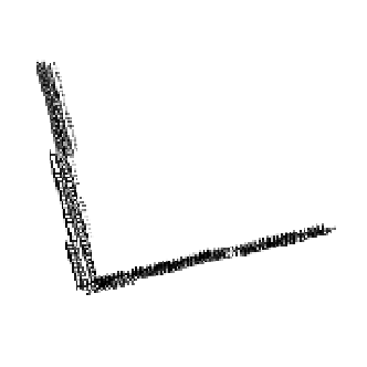 O.O.O.O.O.O.O.O.O.O.O.O.O.O.O.O.O.O.O.O.[Na+].[Na+].[Na+].[Na+].[Na+].[Na+].[Na+].[Na+].[Na+].[Na+].[Na+].[Na+].[Na+].[Na+].[Na+].[Na+].[Na+].[Na+].[Na+].[Na+].[Na+].[Na+].[Na+].[Na+].[Na+].[Na+].[Na+].[Na+].[Na+].[Na+].[Na+].[Na+].[Na+].[Na+].[Na+].[Na+].[Na+].[Na+].[Na+].[Na+].[OH-].[OH-].[OH-].[OH-].[OH-].[OH-].[OH-].[OH-].[OH-].[OH-].[OH-].[OH-].[OH-].[OH-].[OH-].[OH-].[OH-].[OH-].[OH-].[OH-].[OH-].[OH-].[OH-].[OH-].[OH-].[OH-].[OH-].[OH-].[OH-].[OH-].[OH-].[OH-].[OH-].[OH-].[OH-].[OH-].[OH-].[OH-].[OH-].[OH-]